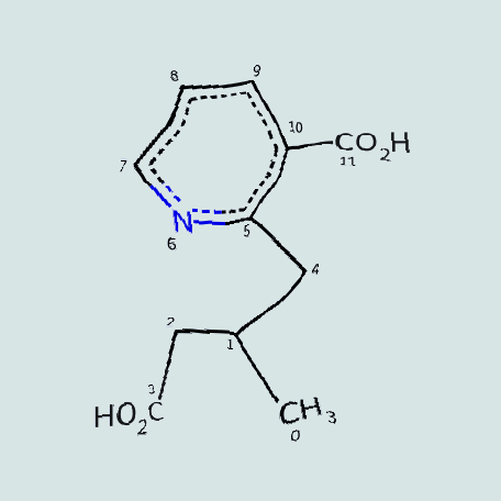 CC(CC(=O)O)Cc1ncccc1C(=O)O